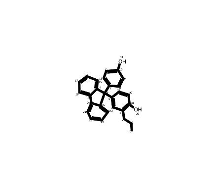 CCCc1cc(C2(c3ccc(O)cc3)c3ccccc3-c3ccccc32)ccc1O